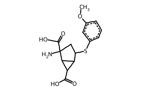 COc1cccc(SC2CC(N)(C(=O)O)C3C(C(=O)O)C23)c1